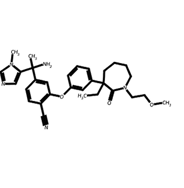 CCC1(c2cccc(Oc3cc(C(C)(N)c4cncn4C)ccc3C#N)c2)CCCCN(CCOC)C1=O